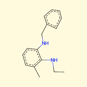 CCNc1c(C)cccc1NCc1ccccc1